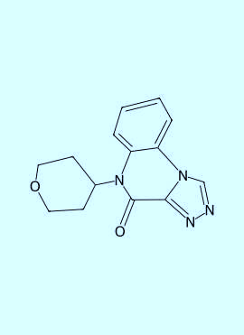 O=c1c2nncn2c2ccccc2n1C1CCOCC1